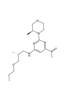 C=C(C)c1cc(NC[C@@H](C)COCCC)nc(N2CCOC[C@@H]2C)n1